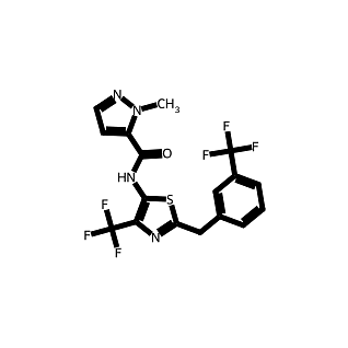 Cn1nccc1C(=O)Nc1sc(Cc2cccc(C(F)(F)F)c2)nc1C(F)(F)F